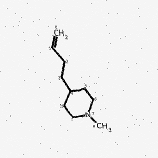 C=CCCC1CCN(C)CC1